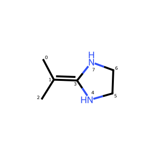 CC(C)=C1NCCN1